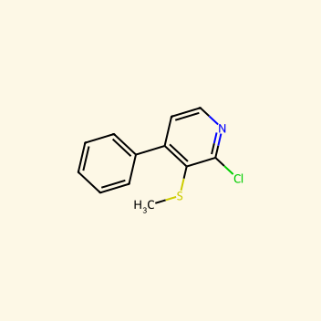 CSc1c(-c2ccccc2)ccnc1Cl